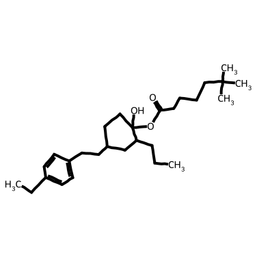 CCCC1CC(CCc2ccc(CC)cc2)CCC1(O)OC(=O)CCCCC(C)(C)C